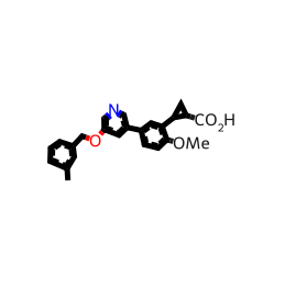 COc1ccc(-c2cncc(OCc3cccc(C)c3)c2)cc1C1CC1C(=O)O